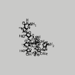 CO[C@@H]1[C@H](P(=O)([O-])OC[C@H]2O[C@@H](n3ccc(=O)[nH]c3=O)[C@H](O)[C@@H]2O)[C@@H](COP(=O)(O)OP(=O)(O)OP(=O)(O)OC[C@H]2O[C@@H](n3c[n+](C)c4c(=O)[nH]c(N)nc43)[C@H](O)[C@@H]2CCOC(C)C)O[C@H]1n1cnc2c(N)ncnc21